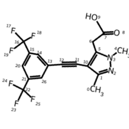 Cc1nn(C)c(CC(=O)O)c1C#Cc1cc(C(F)(F)F)cc(C(F)(F)F)c1